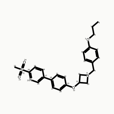 CCCOc1ccc(CN2CC(Oc3ccc(-c4ccc(S(C)(=O)=O)nc4)cc3)C2)cc1